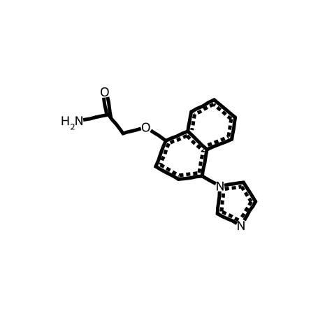 NC(=O)COc1ccc(-n2ccnc2)c2ccccc12